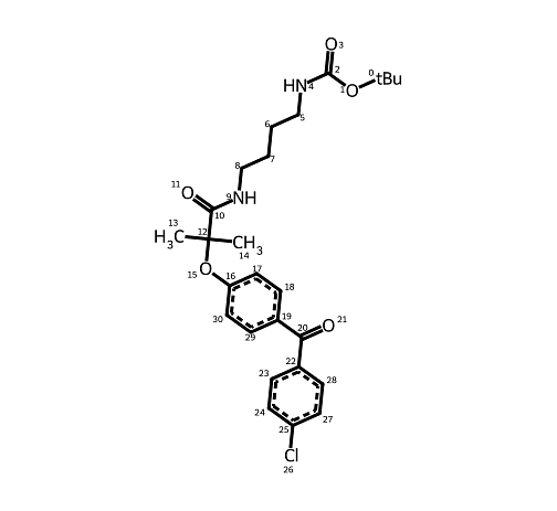 CC(C)(C)OC(=O)NCCCCNC(=O)C(C)(C)Oc1ccc(C(=O)c2ccc(Cl)cc2)cc1